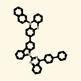 c1ccc(-c2ccc(-c3nc(-n4c5ccccc5c5cc(-c6ccc7c(c6)Sc6ccccc6N7c6ccc7ccccc7c6)ccc54)nc4ccccc34)cc2)cc1